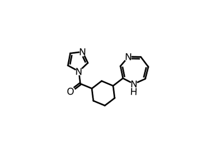 O=C(C1CCCC(C2=CN=CC=CN2)C1)n1ccnc1